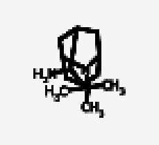 CC(C)(C)N1C2CC3CC1CC(C2)C3N